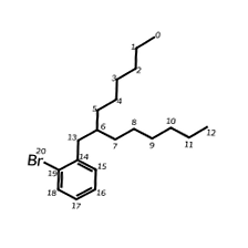 CCCCCCC(CCCCCC)Cc1ccccc1Br